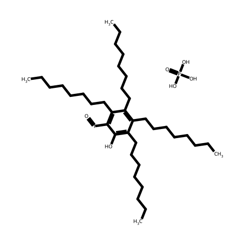 CCCCCCCCc1c(O)c(I=O)c(CCCCCCCC)c(CCCCCCCC)c1CCCCCCCC.O=P(O)(O)O